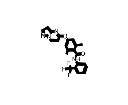 Cc1cc(Oc2ccn3nccc3n2)cc(C)c1C(=O)Nc1ccccc1C(F)(F)F